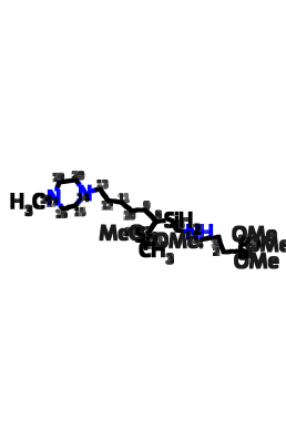 CO[Si](CCCNC[SiH2]C(CCCCCN1CCN(C)CC1)[Si](C)(OC)OC)(OC)OC